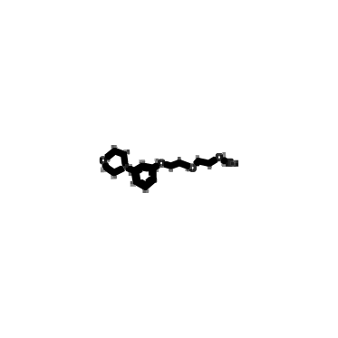 CCC(C)OCCOCCOc1cccc(N2CCOCC2)c1